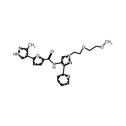 COCCOCCn1cc(NC(=O)c2ccc(-c3c[nH]nc3C)o2)c(-c2ccccn2)n1